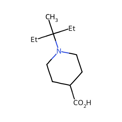 CCC(C)(CC)N1CCC(C(=O)O)CC1